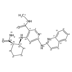 CNC(=O)c1cnc(Nc2ccc3ccccc3n2)cc1N[C@H]1CCCC[C@H]1C(N)=O